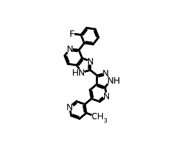 Cc1ccncc1-c1cnc2[nH]nc(-c3nc4c(-c5ccccc5F)nccc4[nH]3)c2c1